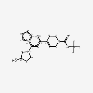 CC(C)(C)OC(=O)N1CC=C(c2cc(N3CCC(O)C3)n3nccc3n2)CC1